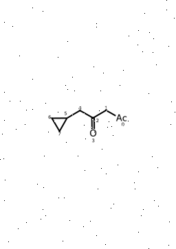 CC(=O)CC(=O)CC1CC1